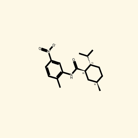 Cc1ccc([N+](=O)[O-])cc1NC(=O)[C@@H]1C[C@H](C)CC[C@H]1C(C)C